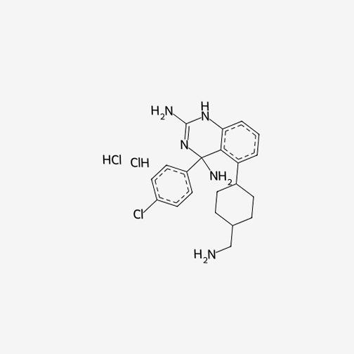 Cl.Cl.NCC1CCC(c2cccc3c2C(N)(c2ccc(Cl)cc2)N=C(N)N3)CC1